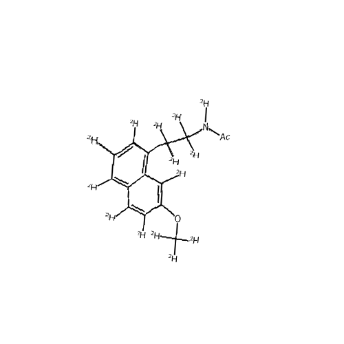 [2H]c1c([2H])c(C([2H])([2H])C([2H])([2H])N([2H])C(C)=O)c2c([2H])c(OC([2H])([2H])[2H])c([2H])c([2H])c2c1[2H]